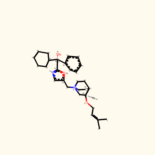 CC(C)=CCO[C@H]1C[N+]2(Cc3cnc([C@](O)(c4ccccc4)C4CCCCC4)o3)CCC1CC2